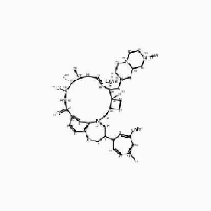 CCCC1=CC(C2COc3ccc4cc3N(C2)CC2CC[C@H]2[C@@](CN2CCN3CCN(C(C)C)CC3C2)(OC)/C=C/C[C@H](C)[C@@H](C)[S+]([O-])NC4=O)C=CC(C)=C1